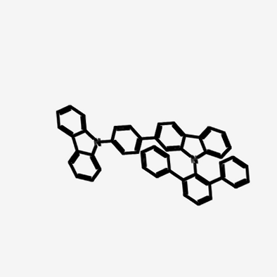 c1ccc(-c2cccc(-c3ccccc3)c2-n2c3ccccc3c3ccc(-c4ccc(-n5c6ccccc6c6ccccc65)cc4)cc32)cc1